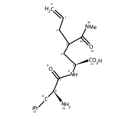 C=CCC(C[C@H](NC(=O)[C@@H](N)CC(C)C)C(=O)O)C(=O)NC